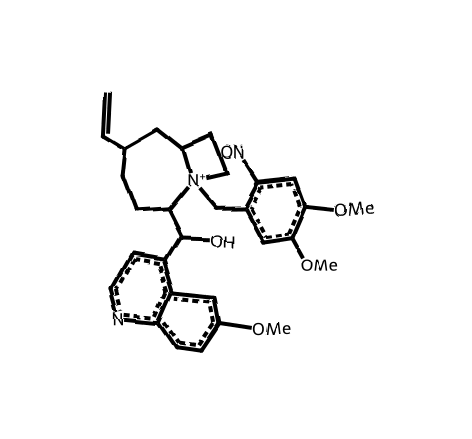 C=CC1CCC(C(O)c2ccnc3ccc(OC)cc23)[N+]2(Cc3cc(OC)c(OC)cc3N=O)CCC2C1